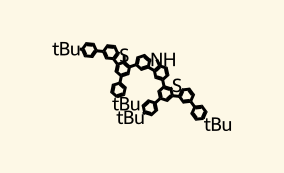 CC(C)(C)c1ccc(-c2ccc3sc4c(-c5ccc6[nH]c7ccc(-c8cc(-c9ccc(C(C)(C)C)cc9)cc9c8sc8ccc(-c%10ccc(C(C)(C)C)cc%10)cc89)cc7c6c5)cc(-c5ccc(C(C)(C)C)cc5)cc4c3c2)cc1